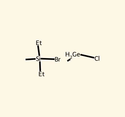 CC[Si](C)(Br)CC.[CH3][GeH2][Cl]